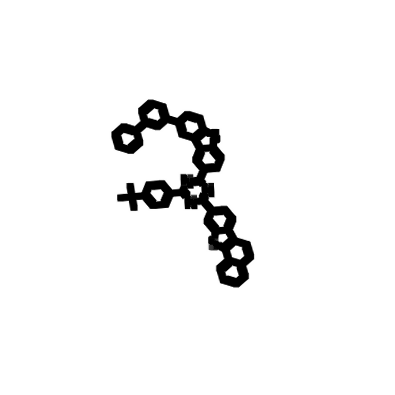 CC(C)(C)c1ccc(-c2nc(-c3ccc4c(c3)sc3c5ccccc5ccc43)nc(-c3ccc4sc5ccc(-c6cccc(-c7ccccc7)c6)cc5c4c3)n2)cc1